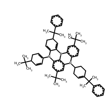 CC(C)(C)c1ccc2c(c1)B1C3=CC(C(C)(C)c4ccccc4)CC=C3N(C3=CCC(C(C)(C)C)C=C3)c3cc(C(C)(C)C)cc(c31)N2C1CC=C(C(C)(C)c2ccccc2)CC1